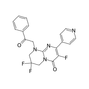 O=C(CN1CC(F)(F)Cn2c1nc(-c1ccncc1)c(F)c2=O)c1ccccc1